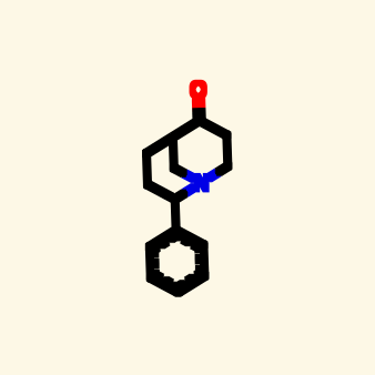 O=C1CCN2CC1CCC2c1ccccc1